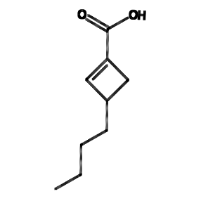 CCCCC1C=C(C(=O)O)C1